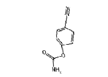 C#Cc1ccc(OC(N)=O)cc1